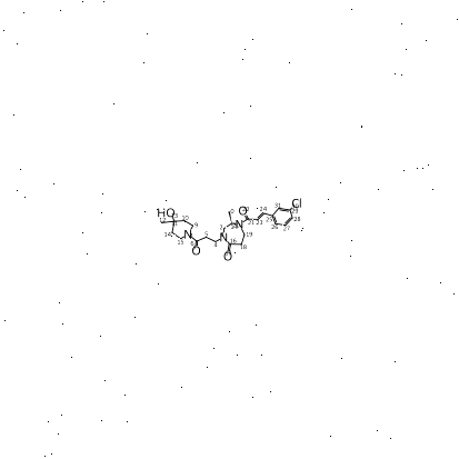 C[C@@H]1CN(CCC(=O)N2CCC(C)(O)CC2)C(=O)CCN1C(=O)C=Cc1cccc(Cl)c1